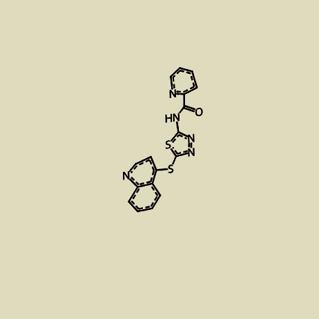 O=C(Nc1nnc(Sc2ccnc3ccccc23)s1)c1ccccn1